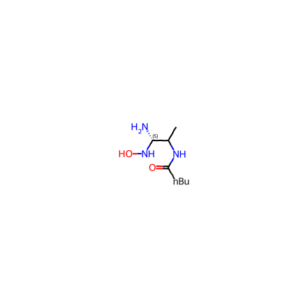 CCCCC(=O)NC(C)[C@@H](N)NO